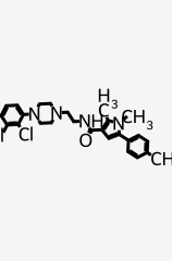 Cc1ccc(-c2cc(C(=O)NCCN3CCN(c4cccc(Cl)c4Cl)CC3)c(C)n2C)cc1